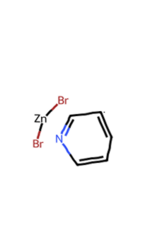 [Br][Zn][Br].[c]1cccnc1